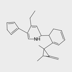 C=C1C(C)C1(C)C1=CC=CCC1C1C=C(CC)C(C2=CCC=C2)=CN1